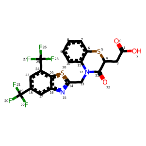 O=C(O)CC1Sc2ccccc2N(Cc2nc3cc(C(F)(F)F)cc(C(F)(F)F)c3s2)C1=O